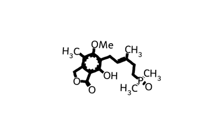 COc1c(C)c2c(c(O)c1C/C=C(\C)CCP(C)(C)=O)C(=O)OC2